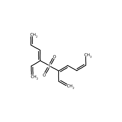 C=C/C=C(\C=C)S(=O)(=O)/C(C=C)=C/C=C\C